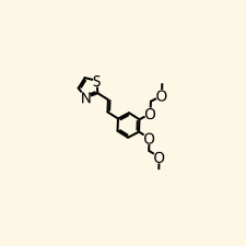 COCOc1ccc(C=Cc2nccs2)cc1OCOC